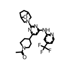 CC(=O)N1CCC(c2cc(Nc3cc(C(F)(F)F)ccn3)nc(N3CC4CCC(C3)O4)n2)CC1